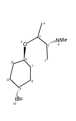 CN[C@H](C)C(C)O[C@H]1CC[C@H](C(C)(C)C)CC1